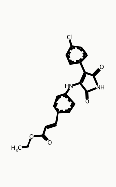 CCOC(=O)C=Cc1ccc(NC2=C(c3ccc(Cl)cc3)C(=O)NC2=O)cc1